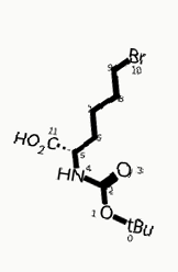 CC(C)(C)OC(=O)N[C@@H](CCCCBr)C(=O)O